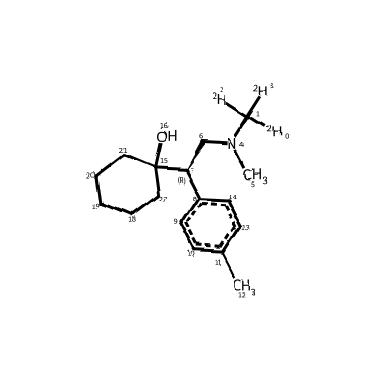 [2H]C([2H])([2H])N(C)C[C@@H](c1ccc(C)cc1)C1(O)CCCCC1